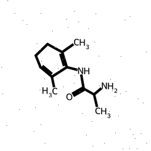 CC1=CCCC(C)=C1NC(=O)C(C)N